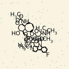 COC(=O)NC1=C2C#C/C=C\C#C[C@H](OC3OC(C)C(SC)(C(=O)c4nccc5c4[nH]c4ccc(F)cc45)C(O)C3OC3CC(OC)C(NC(C)C)CO3)C2/C(=C\CS(C)=S)[C@@H](O)CC1=O